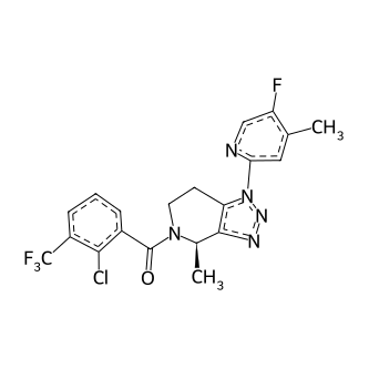 Cc1cc(-n2nnc3c2CCN(C(=O)c2cccc(C(F)(F)F)c2Cl)[C@@H]3C)ncc1F